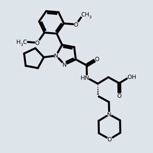 COc1cccc(OC)c1-c1cc(C(=O)N[C@@H](CCN2CCOCC2)CC(=O)O)nn1C1CCCC1